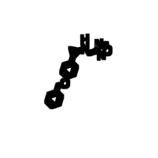 c1ccc(COc2ccc(C3CC3NCc3ncon3)cc2)cc1